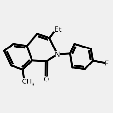 CCc1cc2cccc(C)c2c(=O)n1-c1ccc(F)cc1